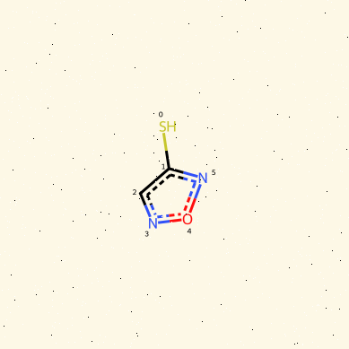 Sc1cnon1